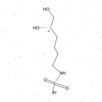 CC(C)S(=O)(=O)NCCCC[C@H](O)CO